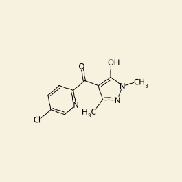 Cc1nn(C)c(O)c1C(=O)c1ccc(Cl)cn1